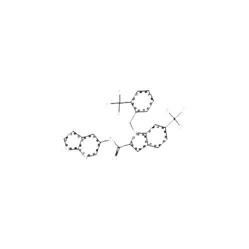 O=C(Nc1cnc2[nH]ccc2c1)c1cc2ccc(C(F)(F)F)cc2n1Cc1ccccc1C(F)(F)F